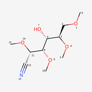 COC[C@@H](OC)[C@@H](O)[C@H](OC)[C@H](C#N)OC